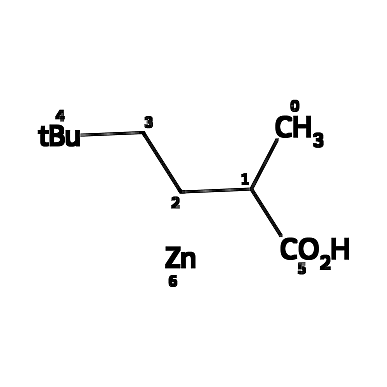 CC(CCC(C)(C)C)C(=O)O.[Zn]